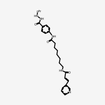 CCCNNC(=O)c1ccc(NC(=O)CCCCCCCNC(=O)/C=C/c2cccnc2)cc1